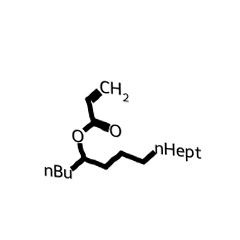 C=CC(=O)OC(CCCC)CCCCCCCCCC